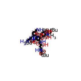 CN(C(=O)OC(C)(C)C)[C@@H]1[C@@H](O)[C@@H](O[C@@H]2[C@@H](O)[C@H](C3OC(CN)=CC[C@H]3NCCCN)[C@@H](NC(=O)OC(C)(C)C)C[C@H]2NC(=O)[C@@H](O)CCNC(=O)OC(C)(C)C)OC[C@]1(C)O